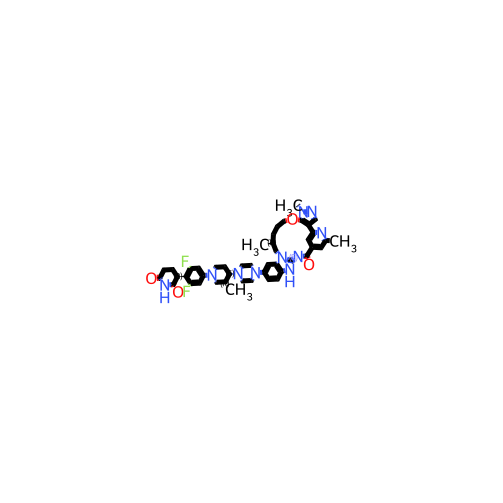 Cc1cc2cc(n1)-c1cnn(C)c1OCCC[C@@H](C)CN1/C(=N/C2=O)Nc2ccc(N3CCN([C@H]4CCN(c5cc(F)c([C@H]6CCC(=O)NC6=O)c(F)c5)C[C@H]4C)CC3)cc21